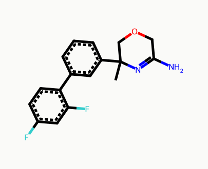 CC1(c2cccc(-c3ccc(F)cc3F)c2)COCC(N)=N1